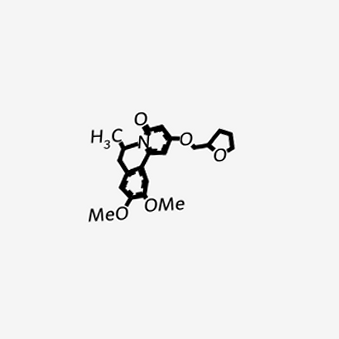 COc1cc2c(cc1OC)-c1cc(OCC3CCCO3)cc(=O)n1C(C)C2